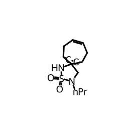 CCCN1CC2(NS1(=O)=O)C1CC=CCC2CC1